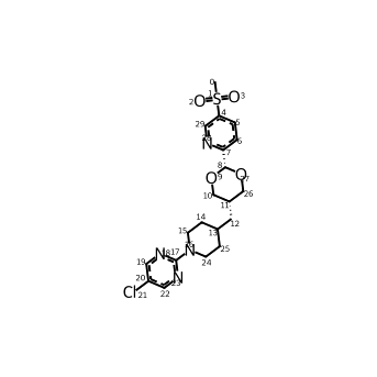 CS(=O)(=O)c1ccc([C@H]2OC[C@@H](CC3CCN(c4ncc(Cl)cn4)CC3)CO2)nc1